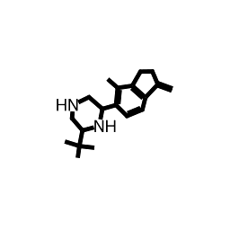 C=C1CCc2c1ccc(C1CNCC(C(C)(C)C)N1)c2C